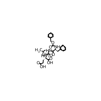 CC(C)C[C@H](NC(=O)[C@H](Cc1ccccc1)NC(=O)OCc1ccccc1)C(=O)N[C@@H](CCC(=O)O)C(=O)O